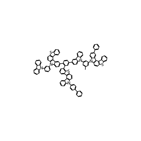 Cc1cc(-n2c3ccccc3c3cc(-c4ccc(-c5ccc6c(c5)c5c7c(ccc5n6-c5cccc(-n6c8ccccc8c8ccccc86)c5)sc5ccccc57)c(-c5cccc6c5sc5ccc7c(c8ccccc8n7-c7ccc(-c8ccccc8)cc7)c56)c4)ccc32)cc(-n2c3ccc(-c4ccccc4)cc3c3c4c(ccc32)sc2ccccc24)c1